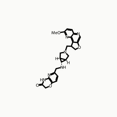 COc1ccc2ncc3c(c2n1)C(CN1C[C@@H]2[C@H](C1)[C@H]2NCc1ccc2c(n1)NC(=O)CO2)CO3